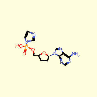 Nc1ncnc2c1ncn2[C@H]1CC[C@@H](COP(=O)(O)n2ccnc2)O1